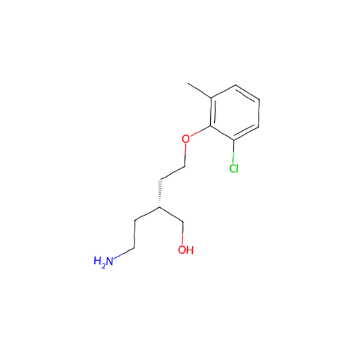 Cc1cccc(Cl)c1OCC[C@H](CO)CCN